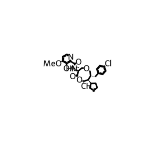 COc1ccnc(C(=O)N[C@H]2COC[C@H](Cc3ccc(Cl)cc3)[C@@H](C3CCCC3)[C@H](C)OC2=O)c1OC(C)=O